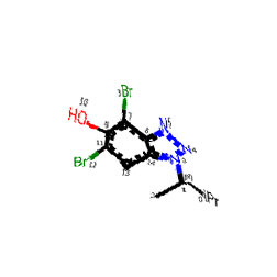 CC(C)[C@@H](C)n1nnc2c(Br)c(O)c(Br)cc21